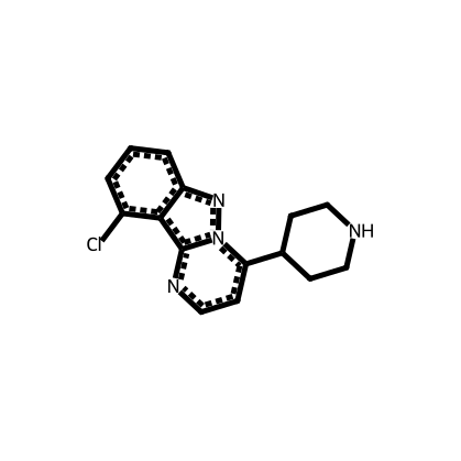 Clc1cccc2nn3c(C4CCNCC4)ccnc3c12